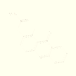 CNC(=O)Oc1ccc2nc3ccccn3c(=N)c2c1Cl